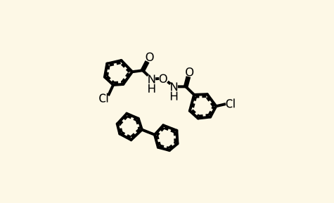 O=C(NONC(=O)c1cccc(Cl)c1)c1cccc(Cl)c1.c1ccc(-c2ccccc2)cc1